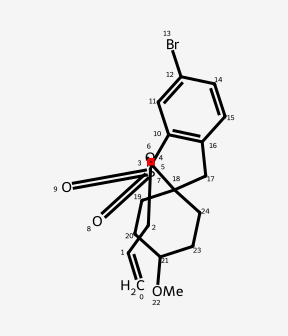 C=CCN1C2(COS1(=O)=O)c1cc(Br)ccc1CC21CCC(OC)CC1